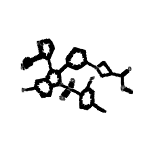 COC(=O)C1CN(c2cccc(-c3c(-c4ccsc4C#N)c4cc(F)ccc4n3S(=O)(=O)c3ccc(C)cc3F)c2)C1